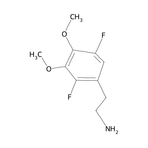 COc1c(F)cc(CCN)c(F)c1OC